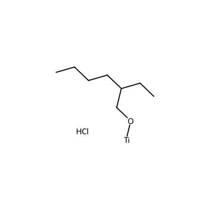 CCCCC(CC)C[O][Ti].Cl